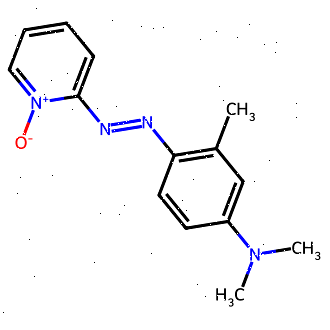 Cc1cc(N(C)C)ccc1N=Nc1cccc[n+]1[O-]